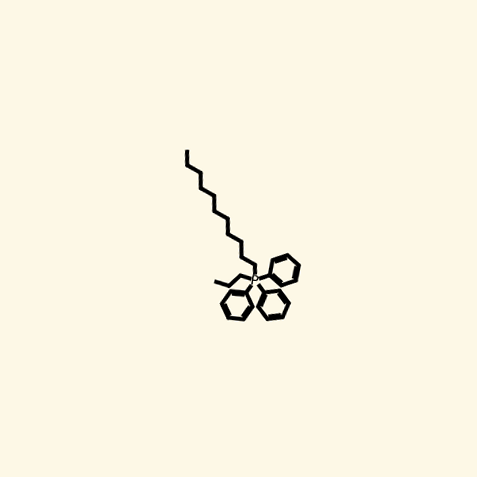 CCCCCCCCCCCP(CCC)(c1ccccc1)(c1ccccc1)c1ccccc1